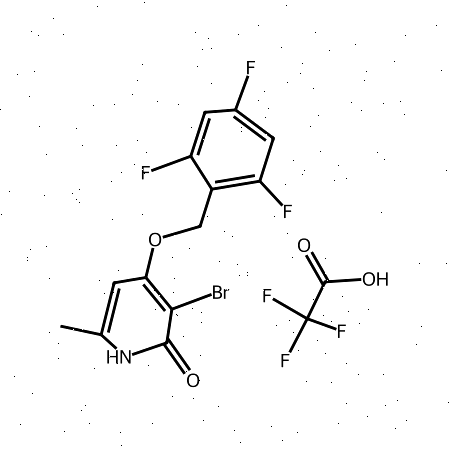 Cc1cc(OCc2c(F)cc(F)cc2F)c(Br)c(=O)[nH]1.O=C(O)C(F)(F)F